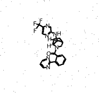 O=C(c1ccccc1-c1ncccn1)N1CC2CC[C@H]1[C@H](Nc1cnc(C(F)(F)F)cn1)C2